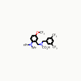 CCCN(CCC)c1ccc(OC(F)(F)F)cc1CN(Cc1cc(C(F)(F)F)cc(C(F)(F)F)c1)C(=O)O